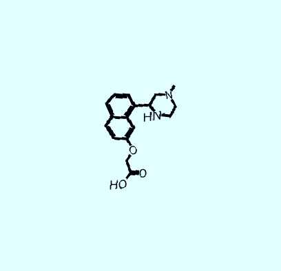 CN1CCNC(c2cccc3ccc(OCC(=O)O)cc23)C1